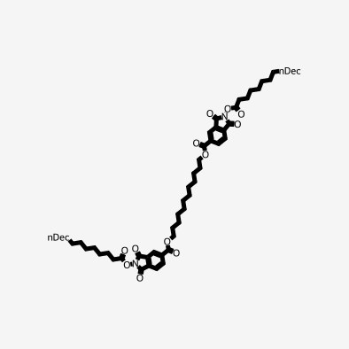 CCCCCCCCCCCCCCCCCC(=O)ON1C(=O)c2ccc(C(=O)OCCCCCCCCCCCCOC(=O)c3ccc4c(c3)C(=O)N(OC(=O)CCCCCCCCCCCCCCCCC)C4=O)cc2C1=O